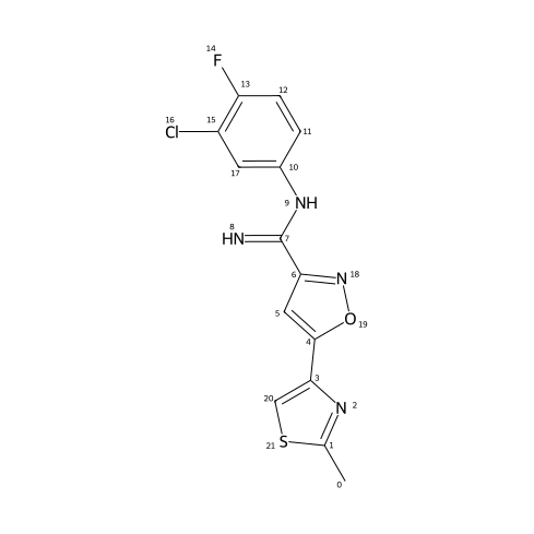 Cc1nc(-c2cc(C(=N)Nc3ccc(F)c(Cl)c3)no2)cs1